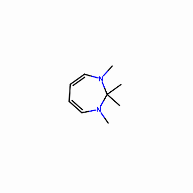 CN1C=CC=CN(C)C1(C)C